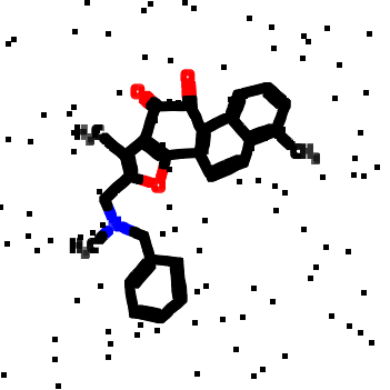 Cc1c(CN(C)Cc2ccccc2)oc2c1C(=O)C(=O)c1c-2ccc2c(C)cccc12